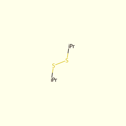 [CH2]C(C)SSC([CH2])C